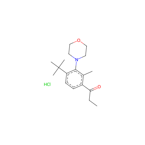 CCC(=O)c1ccc(C(C)(C)C)c(N2CCOCC2)c1C.Cl